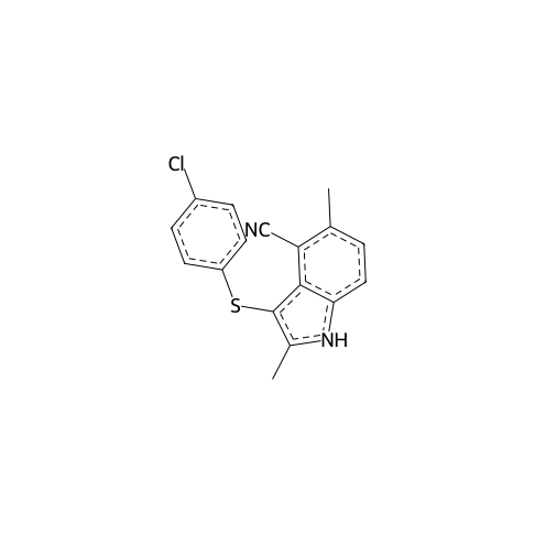 Cc1ccc2[nH]c(C)c(Sc3ccc(Cl)cc3)c2c1C#N